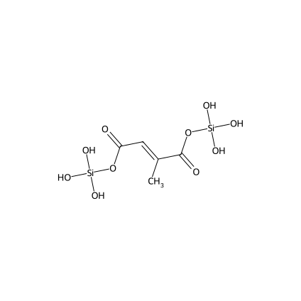 C/C(=C\C(=O)O[Si](O)(O)O)C(=O)O[Si](O)(O)O